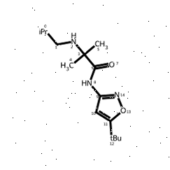 CC(C)CNC(C)(C)C(=O)Nc1cc(C(C)(C)C)on1